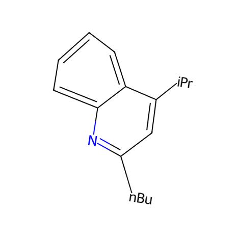 CCCCc1cc(C(C)C)c2ccccc2n1